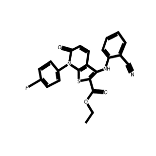 CCOC(=O)c1sc2c(ccc(=O)n2-c2ccc(F)cc2)c1Nc1ccccc1C#N